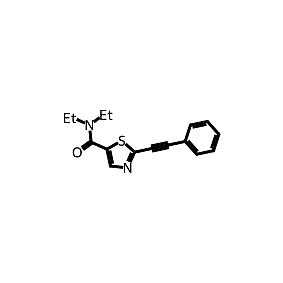 CCN(CC)C(=O)c1cnc(C#Cc2ccccc2)s1